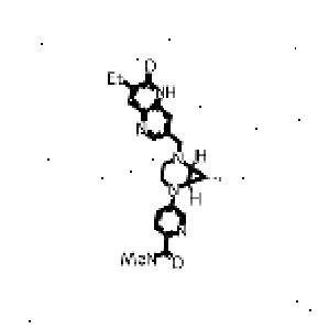 CCc1cc2ncc(CN3CCN(c4ccc(C(=O)NC)nc4)[C@H]4[C@@H](C)[C@H]43)cc2[nH]c1=O